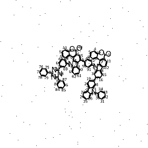 O=c1oc2ccccc2c2c1ccc1c3ccc(-c4ccc5c6ccccc6n(-c6ccccc6)c5c4)cc3n(-c3ccc(-c4cc5c(=O)oc6ccccc6c5c5c4c4ccccc4n5-c4cccc(-c5nc(-c6ccccc6)nc(-c6ccccc6)n5)c4)cc3)c12